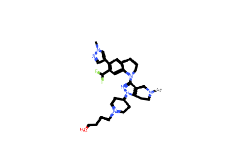 CC(=O)N1CCc2c(c(N3CCCc4cc(-c5cnn(C)c5)c(C(F)F)cc43)nn2C2CCN(CCCCO)CC2)C1